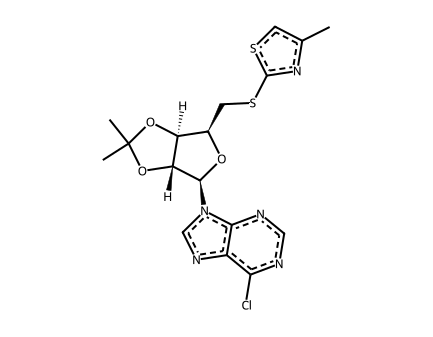 Cc1csc(SC[C@H]2O[C@@H](n3cnc4c(Cl)ncnc43)[C@@H]3OC(C)(C)O[C@H]32)n1